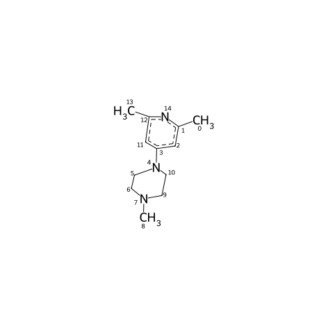 Cc1cc(N2CCN(C)CC2)cc(C)n1